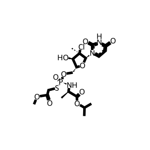 COC(=O)CS[P@](=O)(N[C@H](C)C(=O)OC(C)C)OC[C@H]1O[C@@H](n2ccc(=O)[nH]c2=O)[C@](C)(Cl)[C@@H]1O